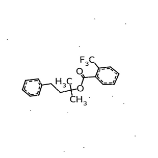 CC(C)(CCc1ccccc1)OC(=O)c1ccccc1C(F)(F)F